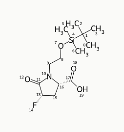 CC(C)(C)[Si](C)(C)OCCN1C(=O)[C@@H](F)C[C@H]1C(=O)O